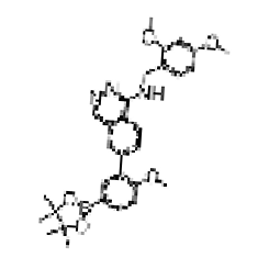 COc1ccc(CNc2nncc3cc(-c4cc(B5OC(C)(C)C(C)(C)O5)ccc4OC)ccc23)c(OC)c1